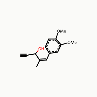 C#CC(O)C(C)=Cc1ccc(OC)c(OC)c1